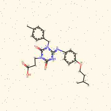 Cc1ccc(Cn2c(=O)n(CCC(=O)O)c(=O)[nH]/c2=N\c2ccc(OCCC(C)C)cc2)cc1